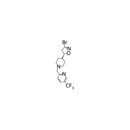 FC(F)(F)c1ccc(CN2CCC([C@H]3CC(Br)=NO3)CC2)nc1